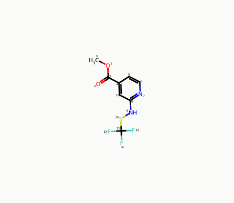 COC(=O)c1ccnc(NSC(F)(F)F)c1